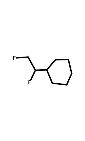 FCC(F)C1CCCCC1